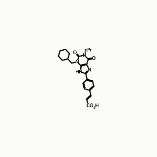 CCCn1c(=O)c2nc(-c3ccc(C=CC(=O)O)cc3)[nH]c2n(CC2CCCCC2)c1=O